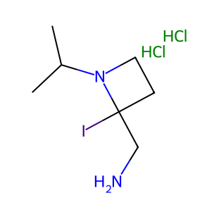 CC(C)N1CCC1(I)CN.Cl.Cl